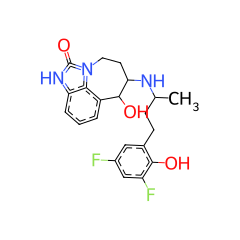 CC(CCc1cc(F)cc(F)c1O)NC1CCn2c(=O)[nH]c3cccc(c32)C1O